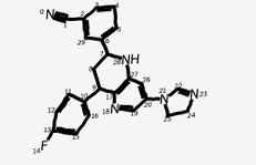 N#Cc1cccc(C2CC(c3ccc(F)cc3)c3ncc(N4C=NCC4)cc3N2)c1